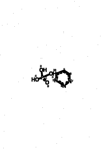 O=P(O)(O)O.c1cnnnc1